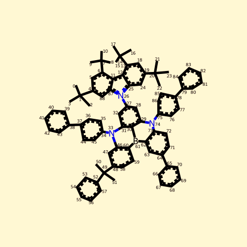 CC(C)(C)c1cc(C(C)(C)C)c2c3c(C(C)(C)C)cc(C(C)(C)C)cc3n(-c3cc4c5c(c3)N(c3ccc(-c6ccccc6)cc3)c3cc(C(C)(C)c6ccccc6)ccc3B5c3cc(-c5ccccc5)ccc3N4c3ccc(-c4ccccc4)cc3)c2c1